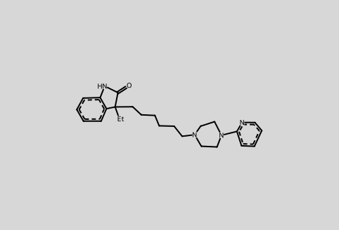 CCC1(CCCCCCN2CCN(c3ccccn3)CC2)C(=O)Nc2ccccc21